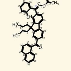 CCCC1(CCC)c2cc(C(=O)c3cccc4ccccc34)ccc2-c2ccc(/C(=N\OC(C)=O)c3ccccc3C)cc21